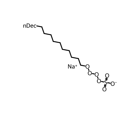 CCCCCCCCCCCCCCCCCCCCOOOOS(=O)(=O)[O-].[Na+]